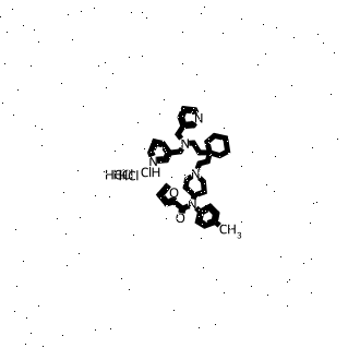 Cc1ccc(N(C(=O)c2ccco2)C2CCN(CCC3(CCN(Cc4cccnc4)Cc4cccnc4)CCCCC3)CC2)cc1.Cl.Cl.Cl.Cl